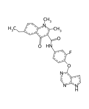 CCc1ccc2c(c1)c(=O)c(C(=O)Nc1ccc(Oc3ncnc4[nH]ccc34)c(F)c1)c(C)n2C